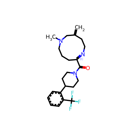 C=C1CC/N=C(/C(=O)N2CCC(c3ccccc3C(F)(F)F)CC2)CCCN(C)C1